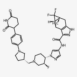 C[C@@]12Cc3[nH]nc(C(=O)Nc4cnn([C@H]5CCN(C[C@@H]6CCN(c7ccc(C8CCC(=O)NC8=O)cc7)C6)C[C@@H]5F)c4)c3C[C@@H]1C2(F)F